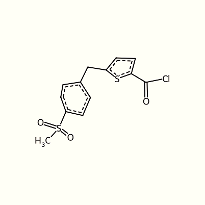 CS(=O)(=O)c1ccc(Cc2ccc(C(=O)Cl)s2)cc1